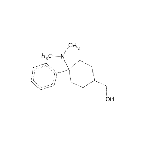 CN(C)C1(c2ccccc2)CCC(CO)CC1